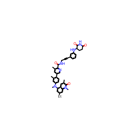 CCc1cc(N(C)c2ccc(-c3cnc(C(=O)NCC#Cc4cccc(NC5CCC(=O)NC5=O)c4)c(C)c3)c(C)c2)c2cc(C)c(=O)n(C)c2c1